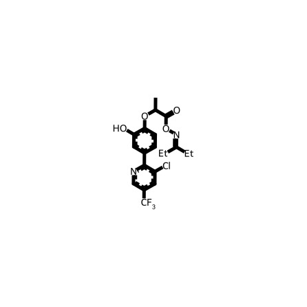 CCC(CC)=NOC(=O)C(C)Oc1ccc(-c2ncc(C(F)(F)F)cc2Cl)cc1O